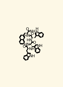 NC(=O)[C@H](Cc1ccc2ccccc2c1)NC(=O)[C@H](Cc1c[nH]c2ccccc12)NC(=O)[C@H](Cc1c[nH]c2ccccc12)NC(=O)[C@H](N)Cc1c[nH]c2ccccc12